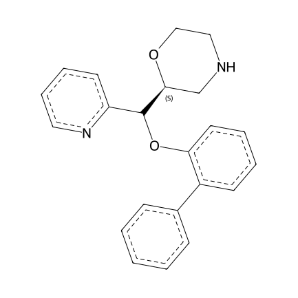 c1ccc(-c2ccccc2OC(c2ccccn2)[C@@H]2CNCCO2)cc1